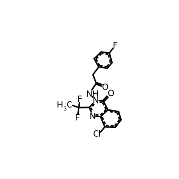 CC(F)(F)c1nc2c(Cl)cccc2c(=O)n1NC(=O)Cc1ccc(F)cc1